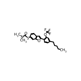 CCCCCc1ccc(-c2cc3ccc(SC(=O)N(C)C)cc3o2)c(OC(F)(F)F)c1